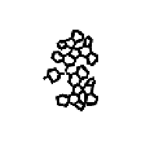 Cc1ccc(N(c2cc3c(c4ccccc24)C2(c4ccccc4-c4ccccc42)c2c-3c3ccccc3c3ccccc23)c2cc3c(c4ccccc24)C2(c4ccccc4-c4ccccc42)c2c-3c3ccccc3c3ccccc23)cc1